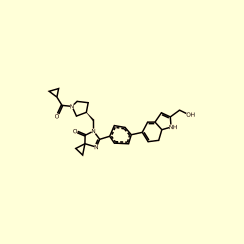 O=C(C1CC1)N1CC[C@@H](CN2C(=O)C3(CC3)N=C2c2ccc(C3=CCC4NC(CO)=CC4=C3)cc2)C1